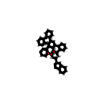 c1ccc(-c2nc(-c3ccc4ccccc4c3)nc(-c3ccccc3-c3cc4c5ccccc5c5ccccc5c4c4ccccc34)n2)cc1